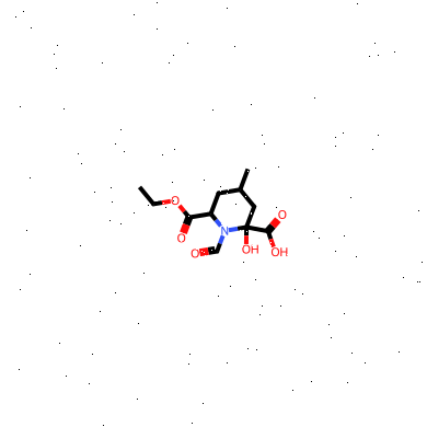 CCOC(=O)C1CC(C)CC(O)(C(=O)O)N1C=O